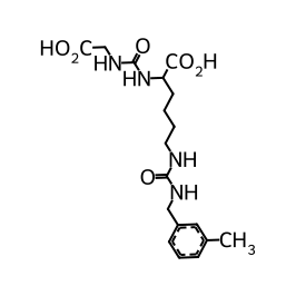 Cc1cccc(CNC(=O)NCCCCC(NC(=O)NCC(=O)O)C(=O)O)c1